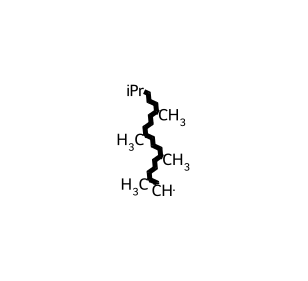 [CH]=CC(C)CCCC(C)CCCC(C)CCCC(C)CCCC(C)C